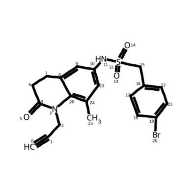 C#CCN1C(=O)CCc2cc(NS(=O)(=O)Cc3ccc(Br)cc3)cc(C)c21